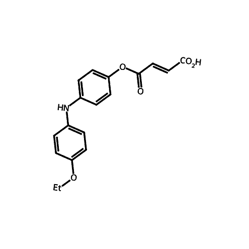 CCOc1ccc(Nc2ccc(OC(=O)C=CC(=O)O)cc2)cc1